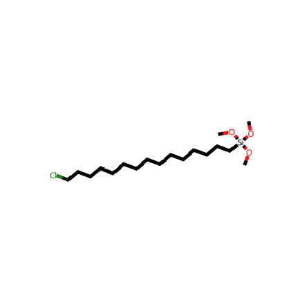 CO[Si](CCCCCCCCCCCCCCCCl)(OC)OC